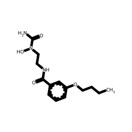 CCCCOc1cccc(C(=O)NCCN(O)C(N)=O)c1